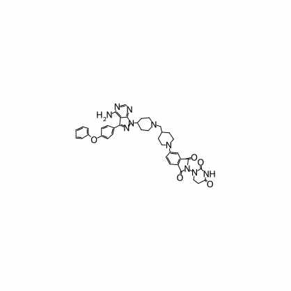 Nc1ncnc2c1c(-c1ccc(Oc3ccccc3)cc1)nn2C1CCN(CC2CCN(c3ccc4c(c3)C(=O)N(N3CCC(=O)NC3=O)C4=O)CC2)CC1